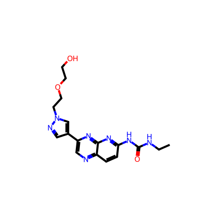 CCNC(=O)Nc1ccc2ncc(-c3cnn(CCOCCO)c3)nc2n1